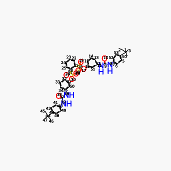 CC(C)(C)c1ccc(NC(=O)Nc2cccc(OS(=O)(=O)c3ccccc3S(=O)(=O)Oc3cccc(NC(=O)Nc4ccc(C(C)(C)C)cc4)c3)c2)cc1